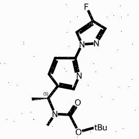 C[C@@H](c1ccc(-n2cc(F)cn2)nc1)N(C)C(=O)OC(C)(C)C